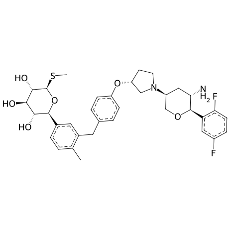 CS[C@H]1O[C@@H](c2ccc(C)c(Cc3ccc(O[C@@H]4CCN([C@@H]5CO[C@H](c6cc(F)ccc6F)[C@@H](N)C5)C4)cc3)c2)[C@H](O)[C@@H](O)[C@@H]1O